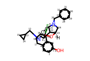 Oc1ccc2c(c1)C13C(F)CN(CC4CC4)C(C2)C12CCC1C3[C@@H](CN1Cc1ccccc1)O2